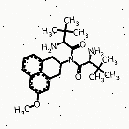 COc1cc2c3c(cccc3c1)CC(N(C(=O)[C@@H](N)C(C)(C)C)C(=O)[C@@H](N)C(C)(C)C)C2